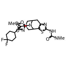 CNC(=O)Nc1nc2c(s1)C1CN(C(=O)OC)CC(C2)N1c1nc(C2CCC(F)(F)CC2)no1